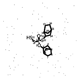 O=P(OC1CC2CCC1C2)(SS)SC1CC2CCC1C2